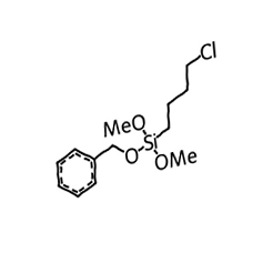 CO[Si](CCCCCl)(OC)OCc1ccccc1